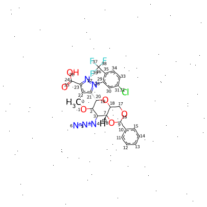 COC1C(N=[N+]=[N-])[C@H]2OC(c3ccccc3)OCC2O[C@H]1c1cc(C(=O)O)nn1-c1cc(Cl)ccc1C(F)(F)F